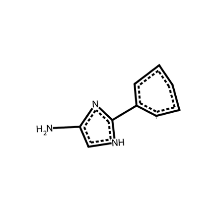 Nc1c[nH]c(-c2[c]cccc2)n1